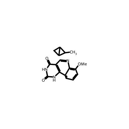 CC1C2CC12.COc1cccc2c1ncc1c(=O)[nH]c(=O)[nH]c12